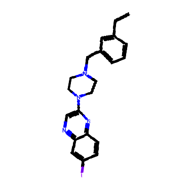 CCc1cccc(CN2CCN(c3cnc4cc(I)ccc4n3)CC2)c1